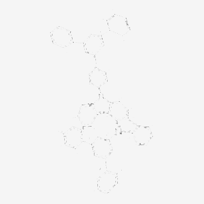 C1=CCC(c2cc(-c3ccccc3)cc(-c3ccc(-n4c5ccccc5c5c4ccc4c6ccccc6n(-c6cc(-c7ccccc7)cc(-c7ccccc7)c6)c45)cc3)c2)C=C1